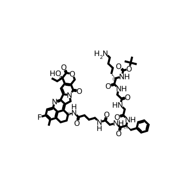 CC[C@@]1(O)C(=O)OCc2c1cc1n(c2=O)Cc2c-1nc1cc(F)c(C)c3c1c2[C@@H](NC(=O)CCCNC(=O)CNC(=O)[C@H](Cc1ccccc1)NC(=O)CNC(=O)CNC(=O)[C@H](CCCCN)NC(=O)OC(C)(C)C)CC3